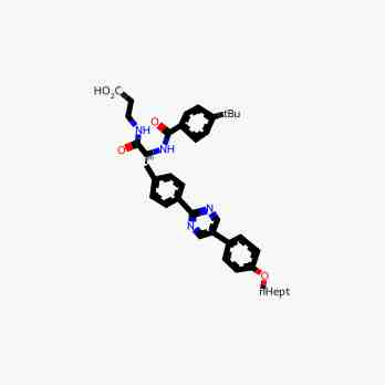 CCCCCCCOc1ccc(-c2cnc(-c3ccc(C[C@@H](NC(=O)c4ccc(C(C)(C)C)cc4)C(=O)NCCC(=O)O)cc3)nc2)cc1